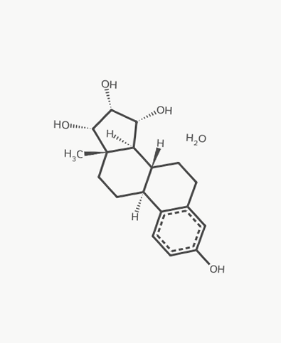 C[C@]12CC[C@@H]3c4ccc(O)cc4CC[C@H]3[C@@H]1[C@@H](O)[C@@H](O)[C@H]2O.O